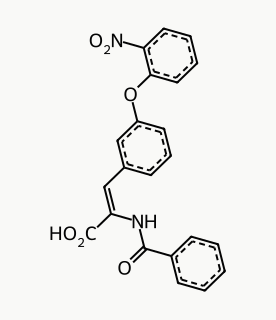 O=C(O)/C(=C/c1cccc(Oc2ccccc2[N+](=O)[O-])c1)NC(=O)c1ccccc1